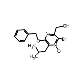 CC(C)Cc1c(OCc2ccccc2)nc(CO)c(Br)[n+]1[O-]